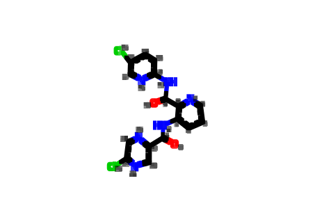 O=C(Nc1cccnc1C(=O)Nc1ccc(Cl)cn1)c1cnc(Cl)cn1